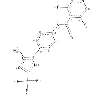 Cc1oc(C(F)(F)F)nc1-c1ccc(NC(=O)c2c(F)cncc2F)cc1